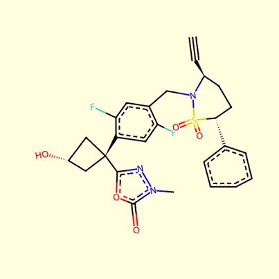 C#C[C@H]1CC[C@H](c2ccccc2)S(=O)(=O)N1Cc1cc(F)c([C@]2(c3nn(C)c(=O)o3)C[C@@H](O)C2)cc1F